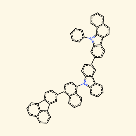 c1ccc(-n2c3cc(-c4ccc5c(c4)c4ccccc4n5-c4ccc(-c5ccc6c(c5)-c5cccc7cccc-6c57)c5ccccc45)ccc3c3ccc4ccccc4c32)cc1